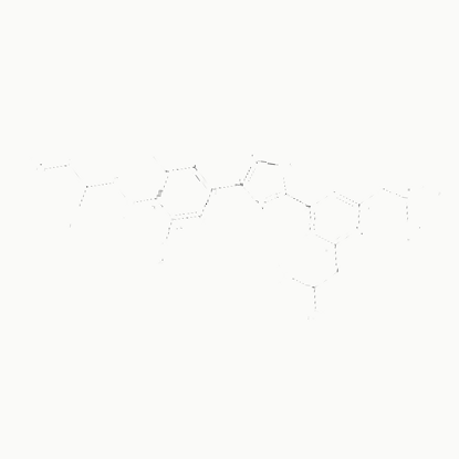 Cc1cc(-c2noc(-c3cc(CC(C)C)nc(CC(C)C)c3)n2)cc(C)c1OCC(O)CO